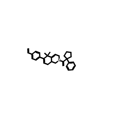 C=Cc1ccc(C2=CCC3CN(C(=C)C4(c5ccccc5)CCCC4)CC=C3C2(C)C)cc1